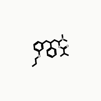 CCCOc1cccc(CC(CC(OC(=O)C(C)C)N(C)C)c2ccccc2)c1